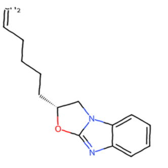 C=CCCCC[C@@H]1Cn2c(nc3ccccc32)O1